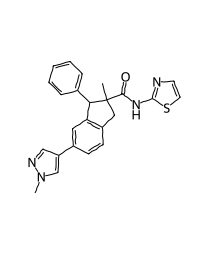 Cn1cc(-c2ccc3c(c2)C(c2ccccc2)C(C)(C(=O)Nc2nccs2)C3)cn1